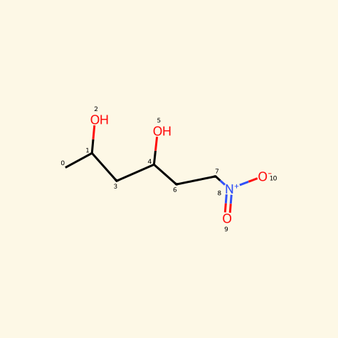 CC(O)CC(O)CC[N+](=O)[O-]